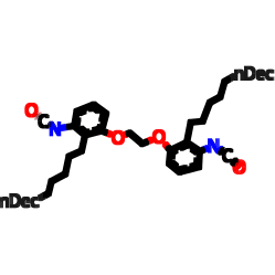 CCCCCCCCCCCCCCCc1c(N=C=O)cccc1OCCOc1cccc(N=C=O)c1CCCCCCCCCCCCCCC